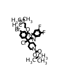 CC(C)(C)OC(=O)N1CCC(C(Cl)(c2ccc(Br)cc2)c2nc3cc(F)c(F)cc3n2COCC[Si](C)(C)C)CC1